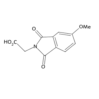 COc1ccc2c(c1)C(=O)N(CC(=O)O)C2=O